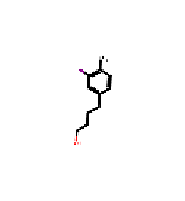 Cc1ccc(CCCCO)cc1I